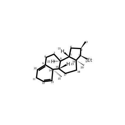 CC[C@@H]1[C@H](C)C[C@H]2[C@@H]3CCC4=CCC=C[C@]4(C)[C@H]3CC[C@]12C